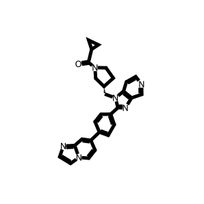 O=C(C1CC1)N1CC[C@H](Cn2c(-c3ccc(-c4ccn5ccnc5c4)cc3)nc3cnccc32)C1